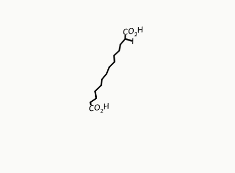 O=C(O)CCCCCCCCCCCC(I)C(=O)O